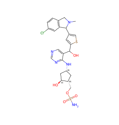 CN1Cc2ccc(Cl)cc2C1c1csc(C(O)c2cncnc2N[C@@H]2C[C@H](COS(N)(=O)=O)[C@@H](O)C2)c1